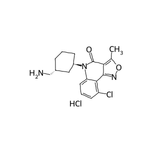 Cc1onc2c1c(=O)n([C@@H]1CCC[C@@H](CN)C1)c1cccc(Cl)c21.Cl